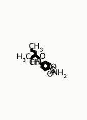 CCCC(C(=O)Nc1ccc(S(N)(=O)=O)cc1)=C(C)C